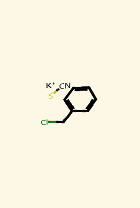 ClCc1ccccc1.N#C[S-].[K+]